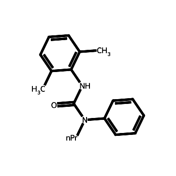 CCCN(C(=O)Nc1c(C)cccc1C)c1ccccc1